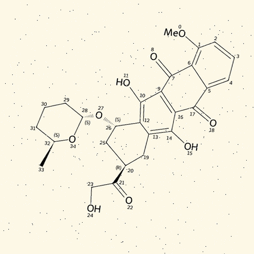 COc1cccc2c1C(=O)c1c(O)c3c(c(O)c1C2=O)C[C@@H](C(=O)CO)C[C@@H]3O[C@H]1CCC[C@H](C)O1